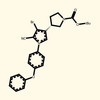 CC(C)(C)OC(=O)N1CC[C@@H](c2cn(-c3ccc(Oc4ccccc4)cc3)c(C#N)c2Br)C1